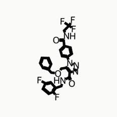 O=C(NCC(F)(F)F)c1ccc(-n2nnc(C(=O)NCc3cc(F)ccc3F)c2COCc2ccccc2)cc1